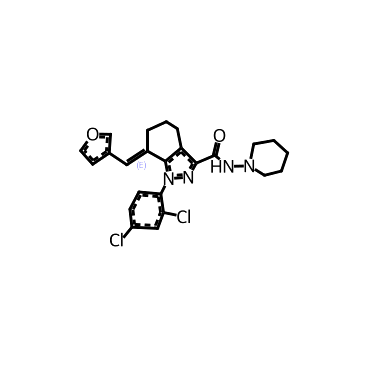 O=C(NN1CCCCC1)c1nn(-c2ccc(Cl)cc2Cl)c2c1CCC/C2=C\c1ccoc1